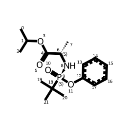 CC(C)OC(=O)[C@H](C)N[P@@](=O)(Oc1ccccc1)C(C)(C)C